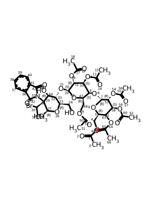 CC(=O)OC[C@H]1O[C@H](O[C@@H]2[C@H](OC(C)=O)[C@@H](OC(C)=O)[C@H](O[C@@H]3[C@@H](CO)O[C@@H](O)[C@](C(C)Br)(N4C(=O)c5ccccc5C4=O)[C@H]3O)O[C@@H]2COC(C)=O)[C@H](OC(C)=O)[C@@H](OC(C)=O)[C@H]1OC(C)=O